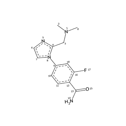 CN(C)Cc1nccn1-c1ccc(C(N)=O)c(F)c1